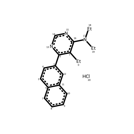 CCc1c(-c2ccc3ccccc3c2)ncnc1N(CC)CC.Cl